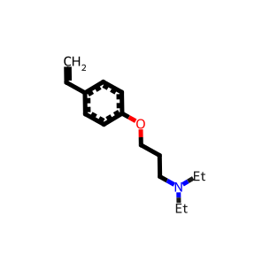 C=Cc1ccc(OCCCN(CC)CC)cc1